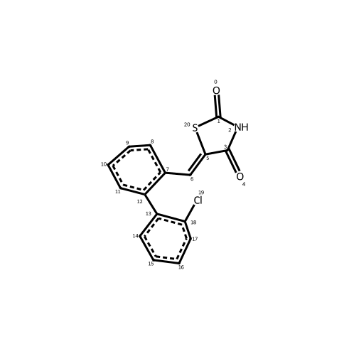 O=C1NC(=O)/C(=C/c2ccccc2-c2ccccc2Cl)S1